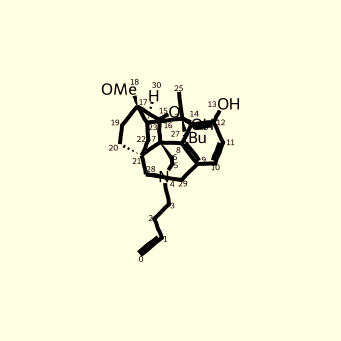 C=CCCN1CC[C@]23c4c5ccc(O)c4OC2[C@@]2(OC)CC[C@@]3(C[C@@H]2[C@](C)(O)C(C)(C)C)C1C5